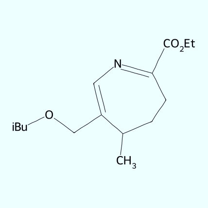 CCOC(=O)C1=NC=C(COC(C)CC)C(C)CC1